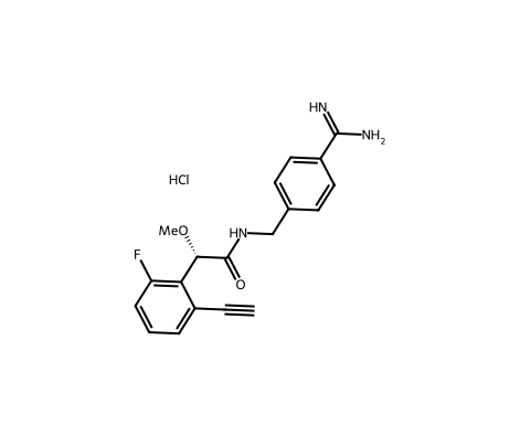 C#Cc1cccc(F)c1[C@H](OC)C(=O)NCc1ccc(C(=N)N)cc1.Cl